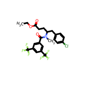 CCOC(=O)CCC(Cc1ccc(Cl)cc1)N(C)C(=O)c1cc(C(F)(F)F)cc(C(F)(F)F)c1